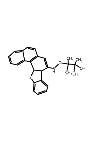 CC(C)(O)C(C)(C)OBC1=Cc2ccc3ccccc3c2C2Sc3ccccc3C12